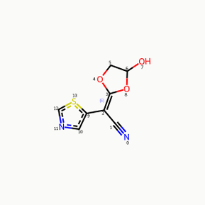 N#C/C(=C1/OCC(O)O1)c1cncs1